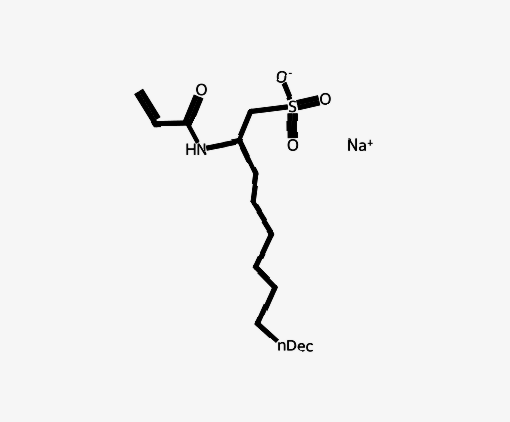 C=CC(=O)NC(CCCCCCCCCCCCCCCC)CS(=O)(=O)[O-].[Na+]